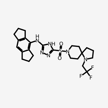 O=S(=O)(c1nnc(Nc2c3c(cc4c2CCC4)CCC3)[nH]1)N1CCC2(CCCN2CC(F)(F)F)CC1